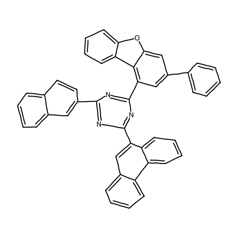 c1ccc(-c2cc(-c3nc(-c4ccc5ccccc5c4)nc(-c4cc5ccccc5c5ccccc45)n3)c3c(c2)oc2ccccc23)cc1